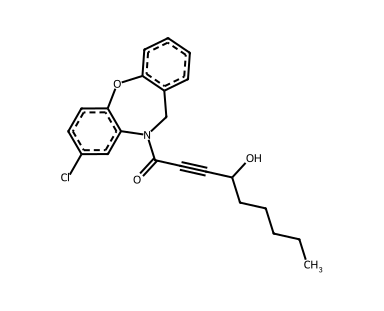 CCCCCC(O)C#CC(=O)N1Cc2ccccc2Oc2ccc(Cl)cc21